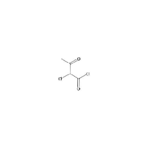 CC(=O)C(Cl)C(=O)Cl